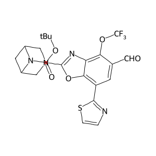 CC(C)(C)OC(=O)N1C2CC1CN(c1nc3c(OC(F)(F)F)c(C=O)cc(-c4nccs4)c3o1)C2